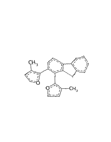 Cc1ccoc1-c1ccc2c(c1-c1occc1C)[CH]c1ccccc1-2